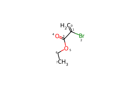 C=C(Br)C(=O)OCC